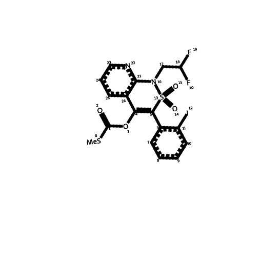 CSC(=O)OC1=C(c2ccccc2I)S(=O)(=O)N(CC(F)F)c2ncccc21